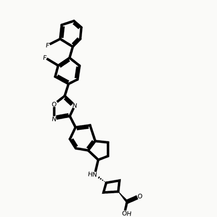 O=C(O)[C@H]1C[C@H](NC2CCc3cc(-c4noc(-c5ccc(-c6ccccc6F)c(F)c5)n4)ccc32)C1